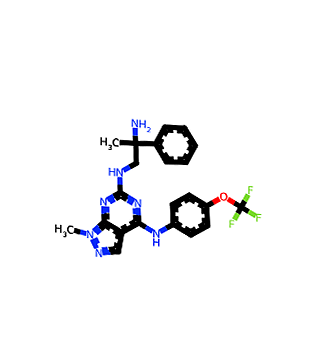 Cn1ncc2c(Nc3ccc(OC(F)(F)F)cc3)nc(NCC(C)(N)c3ccccc3)nc21